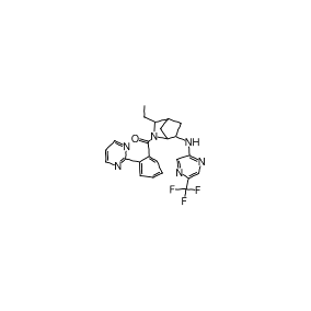 CCC1C2CC(Nc3cnc(C(F)(F)F)cn3)C(C2)N1C(=O)c1ccccc1-c1ncccn1